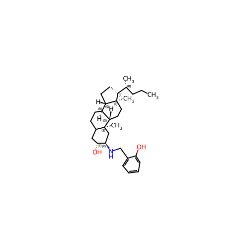 CCC[C@@H](C)[C@H]1CC[C@H]2[C@@H]3CCC4C[C@@H](O)[C@H](NCc5ccccc5O)C[C@]4(C)[C@H]3CC[C@]12C